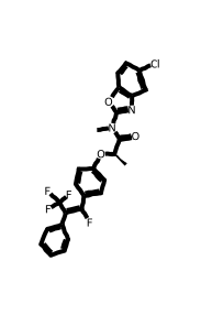 C[C@@H](Oc1ccc(C(F)=C(c2ccccc2)C(F)(F)F)cc1)C(=O)N(C)c1nc2cc(Cl)ccc2o1